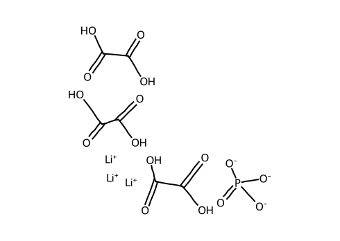 O=C(O)C(=O)O.O=C(O)C(=O)O.O=C(O)C(=O)O.O=P([O-])([O-])[O-].[Li+].[Li+].[Li+]